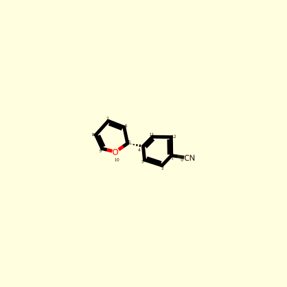 N#Cc1ccc([C@H]2C=CC=CO2)cc1